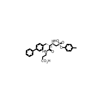 Cc1ccc(OP(=O)(O)CN[C@@H](Cc2ccc(-c3ccccc3)cc2)C(=O)NCCC(=O)O)cc1